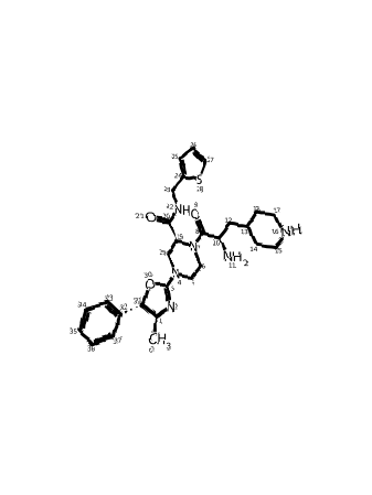 C[C@@H]1N=C(N2CCN(C(=O)[C@H](N)CC3CCNCC3)[C@H](C(=O)NCc3cccs3)C2)O[C@H]1c1ccccc1